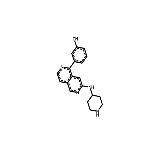 N#Cc1cccc(-c2nccc3cnc(NC4CCNCC4)cc23)c1